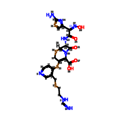 N=CNCCSCc1cnccc1SC1=C(C(=O)O)N2C(=O)[C@@H](NC(=O)/C(=N\O)c3csc(N)n3)[C@@H]2SC1